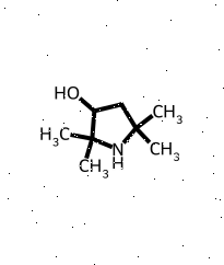 CC1(C)CC(O)C(C)(C)N1